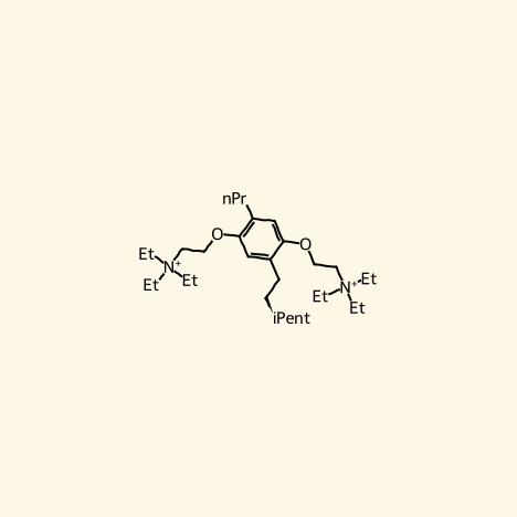 CCCc1cc(OCC[N+](CC)(CC)CC)c(CC[C@H](C)CCC)cc1OCC[N+](CC)(CC)CC